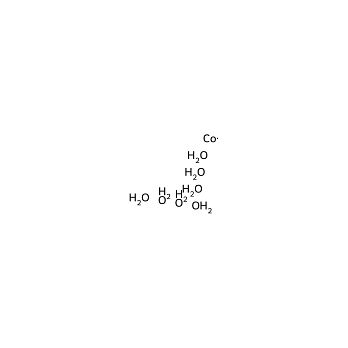 O.O.O.O.O.O.O.[Co]